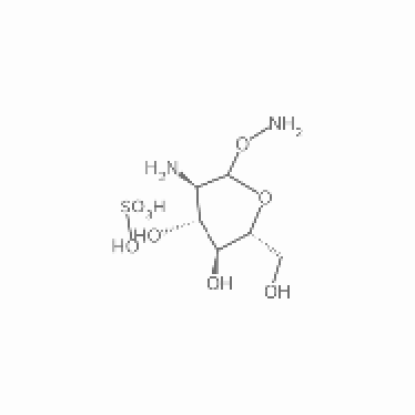 NOC1O[C@H](CO)[C@@H](O)[C@H](O)[C@H]1N.O=S(=O)(O)O